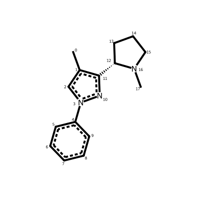 Cc1cn(-c2ccccc2)nc1[C@@H]1CCCN1C